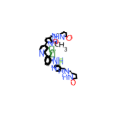 COc1nc(-c2ccnc(-c3cccc(Nc4nccc(CNC[C@H]5CCC(=O)N5)c4F)c3Cl)c2Cl)ccc1CNC[C@@H]1CCC(=O)N1